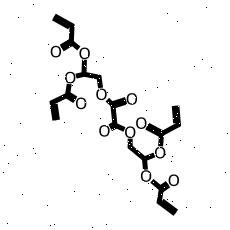 C=CC(=O)OC(COC(=O)C(=O)OCC(OC(=O)C=C)OC(=O)C=C)OC(=O)C=C